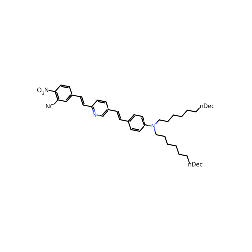 CCCCCCCCCCCCCCCCN(CCCCCCCCCCCCCCCC)c1ccc(C=Cc2ccc(C=Cc3ccc([N+](=O)[O-])c(C#N)c3)nc2)cc1